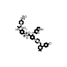 CC(CN1CCC(N=S(C)(C)=O)CC1)Nc1ccc(S(=O)(=O)NC(=O)c2ccc(N3CCN(CC4=C(c5ccc(Cl)cc5)CC(C)(C)CC4)CC3)cc2Oc2cnc3[nH]ccc3c2)cc1[N+](=O)[O-]